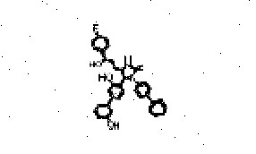 Oc1cccc(-c2ccc(C3C(CCC(O)c4ccc(F)cc4)NC(=S)N3c3ccc(-c4ccccc4)cc3)c(O)c2)c1